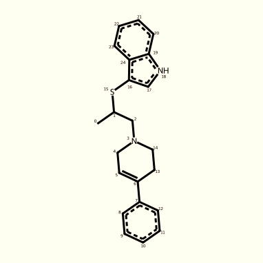 CC(CN1CC=C(c2ccccc2)CC1)Sc1c[nH]c2ccccc12